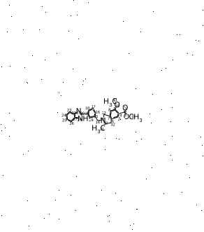 COC(=O)c1cc2c(cc1OC)CN(Cc1cccc(-c3nc4ccccc4[nH]3)c1)C(C)C2